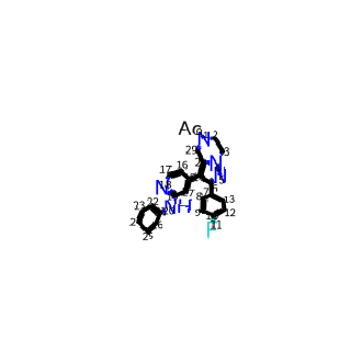 CC(=O)N1CCn2nc(-c3ccc(F)cc3)c(-c3ccnc(Nc4ccccc4)c3)c2C1